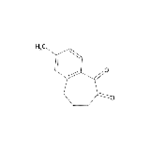 Cc1ccc2c(c1)CCCC(=O)C2=O